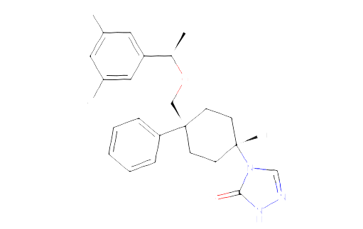 CC[C@]1(n2cn[nH]c2=O)CC[C@@](CO[C@H](C)c2cc(C(F)(F)F)cc(C(F)(F)F)c2)(c2ccccc2)CC1